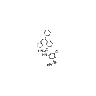 CCCNc1cc(NC(=O)NC2CCN(CC(c3ccccc3)c3ccccc3)C2)cc(Cl)n1